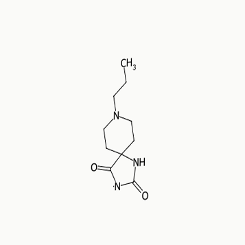 CCCN1CCC2(CC1)NC(=O)[N]C2=O